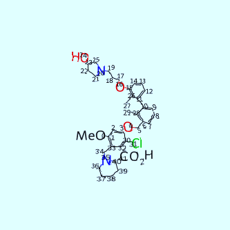 COc1cc(OCc2cccc(-c3cccc(OCCCN4CCC(O)C4)c3C)c2C)c(Cl)cc1CN1CCCC[C@H]1C(=O)O